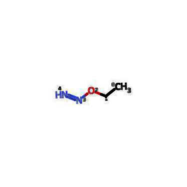 CCON=N